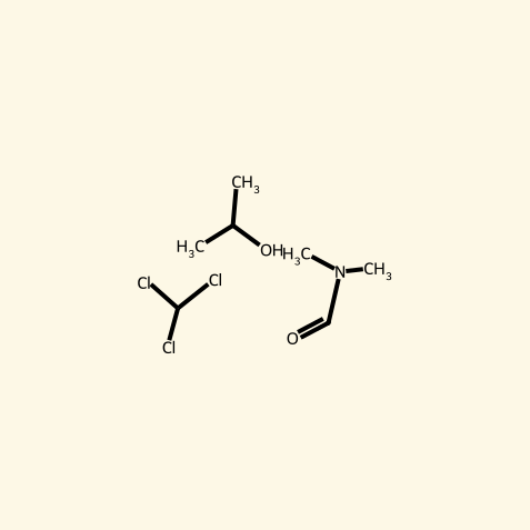 CC(C)O.CN(C)C=O.ClC(Cl)Cl